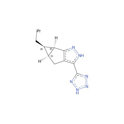 CC(C)C[C@@H]1[C@@H]2Cc3c(n[nH]c3-c3nn[nH]n3)[C@H]12